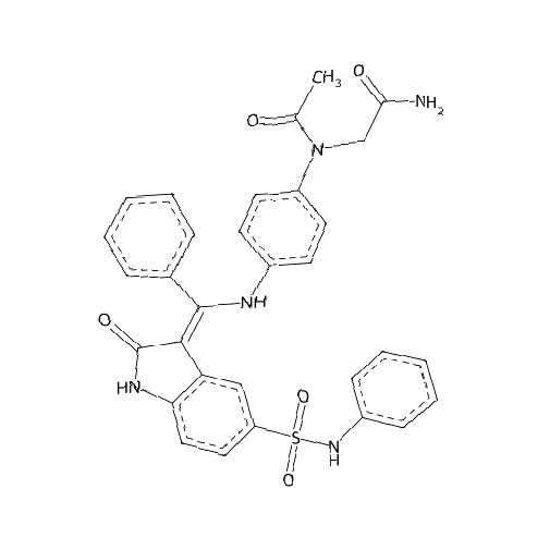 CC(=O)N(CC(N)=O)c1ccc(NC(=C2C(=O)Nc3ccc(S(=O)(=O)Nc4ccccc4)cc32)c2ccccc2)cc1